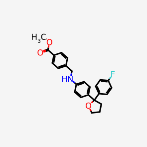 COC(=O)c1ccc(CNc2ccc(C3(c4ccc(F)cc4)CCCO3)cc2)cc1